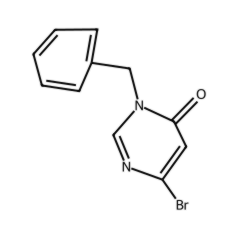 O=c1cc(Br)ncn1Cc1ccccc1